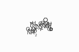 CCCN(C(=O)[C@@H](NC(=O)NC1(C[S+]([O-])Cc2ccco2)CCCCC1)C(C)(C)C)[C@@H](C)C(=O)NC(CC1CC1)C(=O)C(N)=O